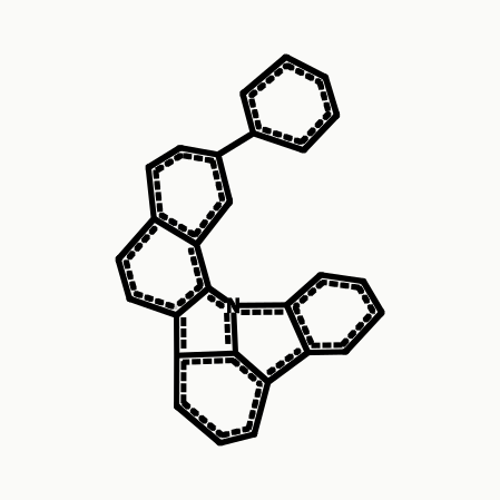 c1ccc(-c2ccc3ccc4c5cccc6c7ccccc7n(c4c3c2)c65)cc1